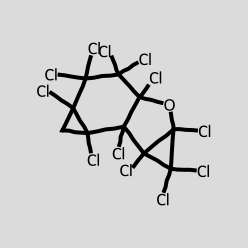 ClC1(Cl)C(Cl)(Cl)C2(Cl)OC3(Cl)C(Cl)(Cl)C3(Cl)C2(Cl)C2(Cl)CC12Cl